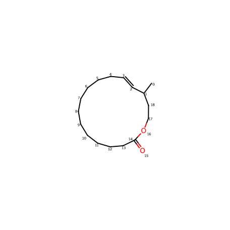 CC1/C=C/CCCCCCCCCCC(=O)OCC1